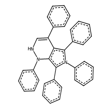 C1=C(c2ccccc2)c2c(c(-c3ccccc3)n(-c3ccccc3)c2-c2ccccc2)N(c2ccccc2)N1